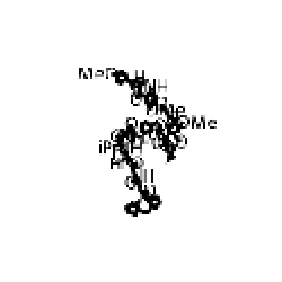 COc1ccc(C2=CN3C(=O)c4cc(OC)c(OCCCOc5cc6c(cc5OC)C(=O)N5CC7(CC7)C[C@H]5[C@H](O)N6C(=O)OCc5ccc(NC(=O)[C@H](C)NC(=O)[C@@H](NC(=O)CNC(=O)CNC(=O)CCC(=O)N6Cc7ccccc7C#Cc7ccccc76)C(C)C)cc5)cc4NC[C@@H]3C2)cc1